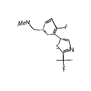 CNCc1ccc(F)c(-c2cnc(C(C)(C)F)s2)c1